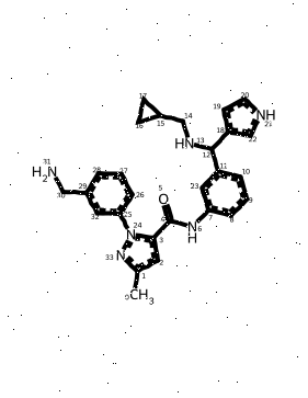 Cc1cc(C(=O)Nc2cccc(C(NCC3CC3)c3cc[nH]c3)c2)n(-c2cccc(CN)c2)n1